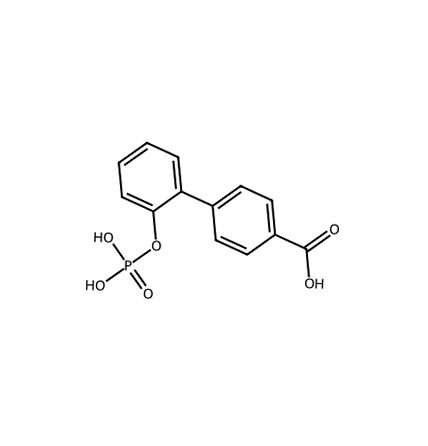 O=C(O)c1ccc(-c2ccccc2OP(=O)(O)O)cc1